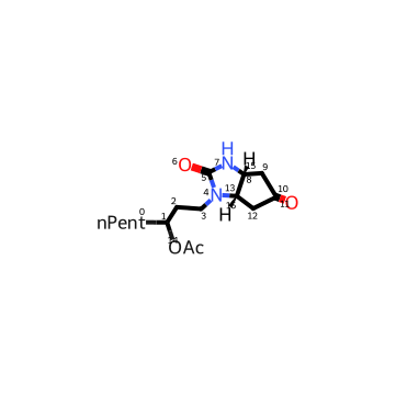 CCCCCC(CCN1C(=O)N[C@@H]2CC(=O)C[C@@H]21)OC(C)=O